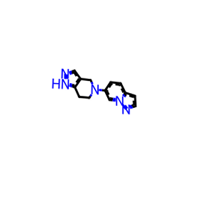 c1cc2ccc(N3CCc4[nH]ncc4C3)cn2n1